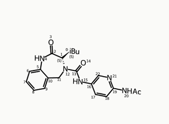 CC[C@H](C)[C@H]1C(=O)Nc2ccccc2CN1C(=O)Nc1ccc(NC(C)=O)nc1